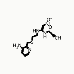 C#CCNC(=C[N+](=O)[O-])NCCSCc1ncccc1N